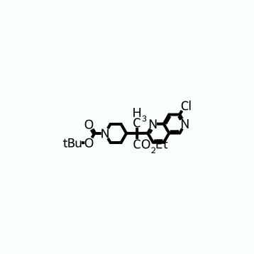 CCOC(=O)C(C)(c1ccc2cnc(Cl)cc2n1)C1CCN(C(=O)OC(C)(C)C)CC1